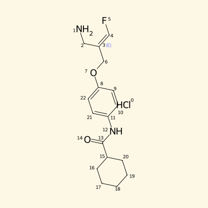 Cl.NC/C(=C\F)COc1ccc(NC(=O)C2CCCCC2)cc1